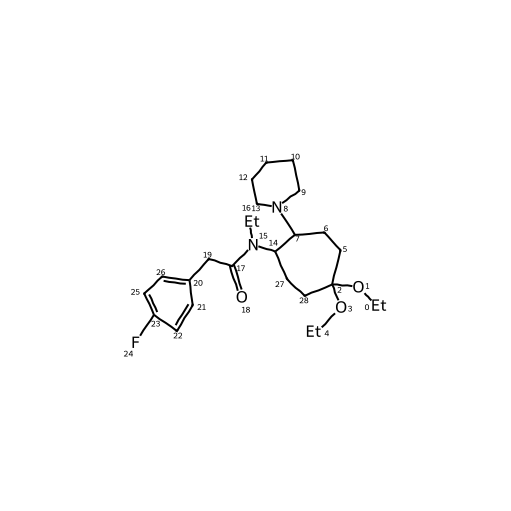 CCOC1(OCC)CCC(N2CCCCC2)C(N(CC)C(=O)Cc2ccc(F)cc2)CC1